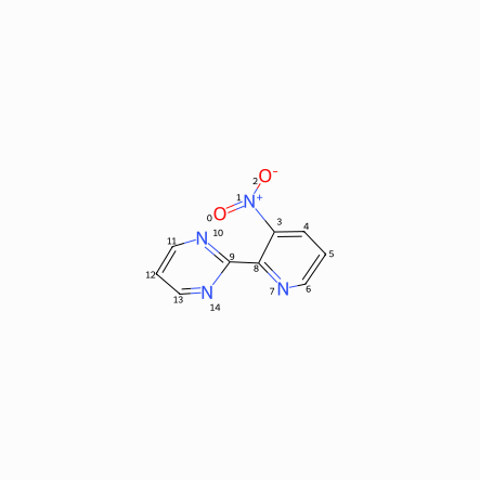 O=[N+]([O-])c1cccnc1-c1ncccn1